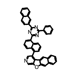 c1ccc(-c2nc(-c3ccc4ccccc4c3)nc(-c3cccc4c(-c5cncc6oc7cc8ccccc8cc7c56)cccc34)n2)cc1